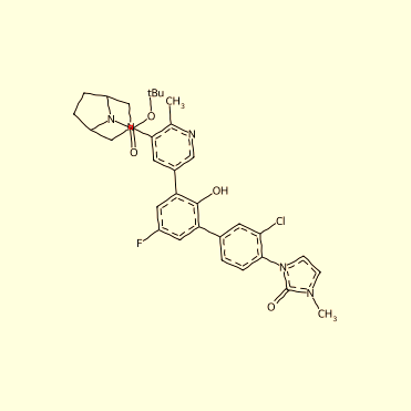 Cc1ncc(-c2cc(F)cc(-c3ccc(-n4ccn(C)c4=O)c(Cl)c3)c2O)cc1N1CC2CCC(C1)N2C(=O)OC(C)(C)C